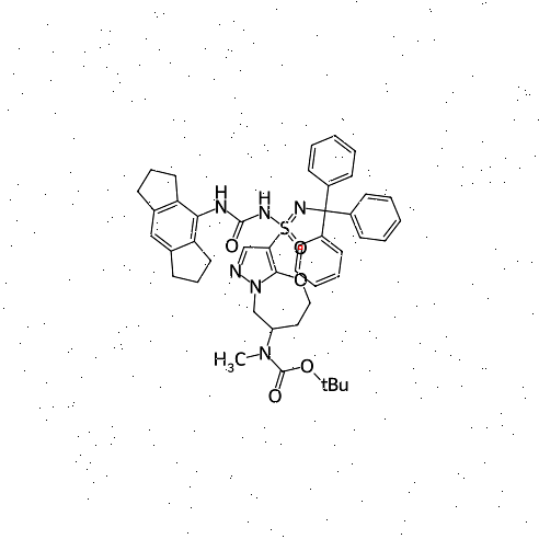 CN(C(=O)OC(C)(C)C)C1CCOc2c(S(=O)(=NC(c3ccccc3)(c3ccccc3)c3ccccc3)NC(=O)Nc3c4c(cc5c3CCC5)CCC4)cnn2C1